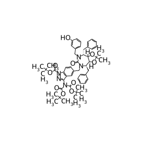 CC(C)(C)OC(=O)N(C(=O)OC(C)(C)C)c1nn(C(=O)OC(C)(C)C)c2ccc(CN3C(=O)N(Cc4cccc(O)c4)[C@H](Cc4ccccc4)[C@@H]4OC(C)(C)O[C@H]4[C@H]3Cc3ccccc3)cc12